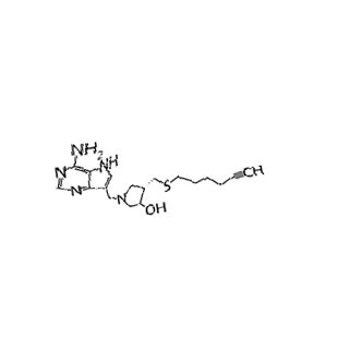 C#CCCCCSC[C@H]1CN(Cc2c[nH]c3c(N)ncnc23)CC1O